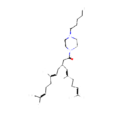 CCCCCN1CCN(C(=O)CC(/C=C(\C)CCC=C(C)C)C/C=C(\C)CCC=C(C)C)CC1